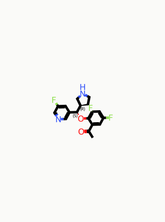 CC(=O)c1cc(F)cc(F)c1O[C@H](c1cncc(F)c1)[C@@H]1CCNC1